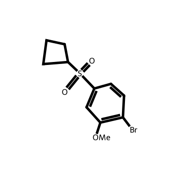 COc1cc(S(=O)(=O)C2CCC2)ccc1Br